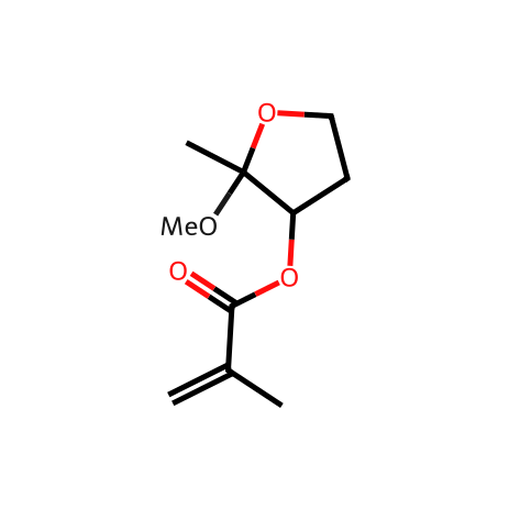 C=C(C)C(=O)OC1CCOC1(C)OC